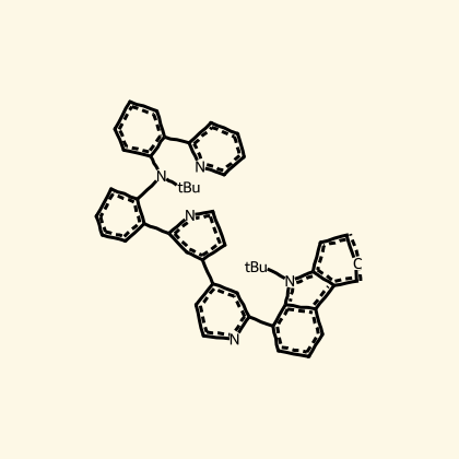 CC(C)(C)N(c1ccccc1-c1ccccn1)c1ccccc1-c1cc(-c2ccnc(-c3cccc4c5ccccc5n(C(C)(C)C)c34)c2)ccn1